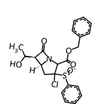 CC(O)[C@H]1C(=O)N2C(C(=O)OCc3ccccc3)C(Cl)([S+]([O-])c3ccccc3)C[C@@H]12